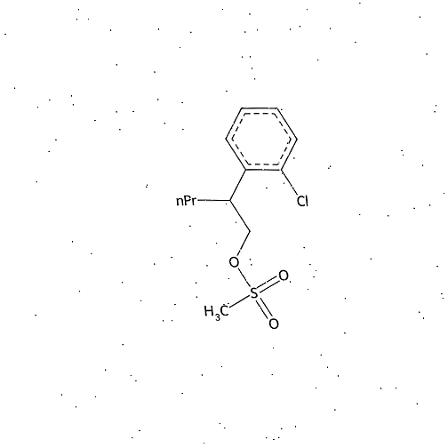 CCCC(COS(C)(=O)=O)c1ccccc1Cl